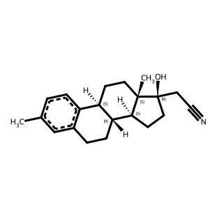 Cc1ccc2c(c1)CC[C@@H]1[C@@H]2CC[C@@]2(C)[C@H]1CC[C@@]2(O)CC#N